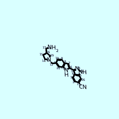 N#Cc1ccc2c(-c3cc4ccc(CN5CCC(CN)C5)cc4[nH]3)n[nH]c2c1